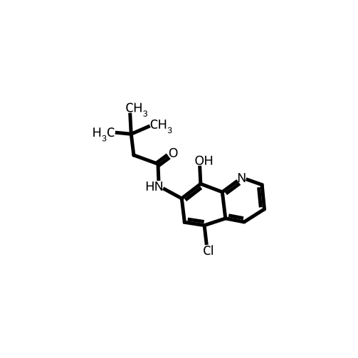 CC(C)(C)CC(=O)Nc1cc(Cl)c2cccnc2c1O